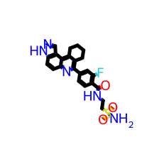 NS(=O)(=O)CCNC(=O)c1ccc(-c2nc3ccc4[nH]ncc4c3c3c2CCCC3)cc1F